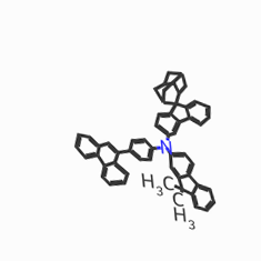 CC1(C)c2ccccc2-c2ccc(N(c3ccc(-c4cc5ccccc5c5ccccc45)cc3)c3ccc4c(c3)-c3ccccc3C43C4CC5CC(C4)CC3C5)cc21